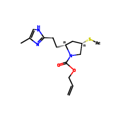 C=CCOC(=O)N1C[C@@H](SC(C)=O)C[C@H]1CCc1nc(C)c[nH]1